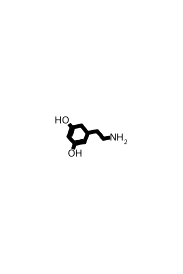 NCCC1C=C(O)C=C(O)C1